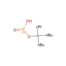 CCCCC(CCC)(CCCC)O[PH](=O)O